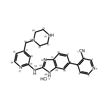 Cl.N#Cc1cnccc1-c1ccc2nc(Nc3cc(CN4CCNCC4)ccn3)[nH]c2c1